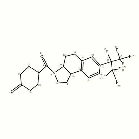 O=C1CCC(C(=O)N2CCC3c4ccc(C(F)(C(F)(F)F)C(F)(F)F)cc4CCC32)CC1